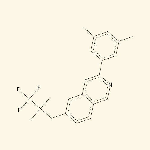 Cc1cc(C)cc(-c2cc3cc(CC(C)(C)C(F)(F)F)ccc3cn2)c1